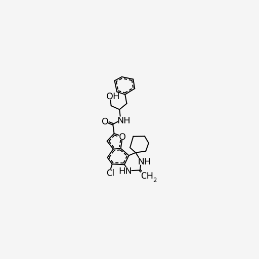 C=C1Nc2c(Cl)cc3cc(C(=O)NC(CO)Cc4ccccc4)oc3c2C2(CCCCC2)N1